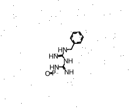 N=C(NCc1ccccc1)NC(=N)NP=O